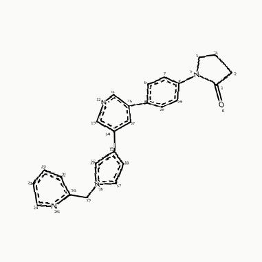 O=C1CCCN1c1ccc(-c2cncc(-c3ccn(Cc4ccccn4)c3)c2)cc1